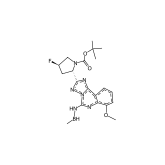 CBNc1nc2c(OC)cccc2c2nc([C@@H]3C[C@@H](F)CN3C(=O)OC(C)(C)C)nn12